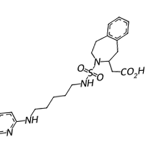 O=C(O)CC1Cc2ccccc2CCN1S(=O)(=O)NCCCCCNc1ccccn1